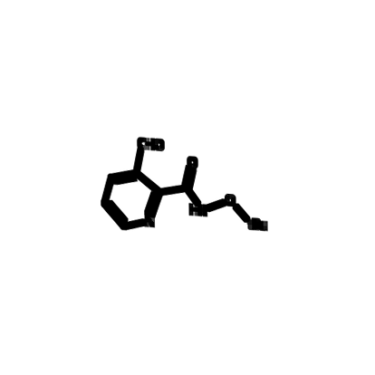 CC(C)(C)ONC(=O)c1ncccc1C=O